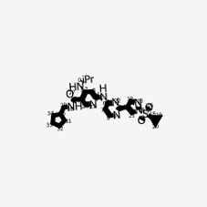 CC(C)Nc1cc(Nc2ccnc(-c3cnn(S(=O)(=O)C4CC4)c3)n2)ncc1C(=O)NCC1CCCC1